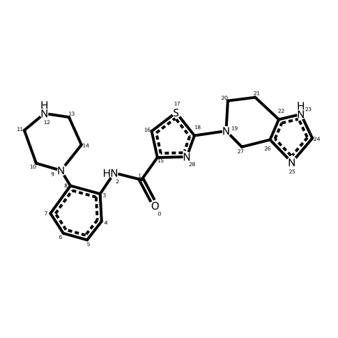 O=C(Nc1ccccc1N1CCNCC1)c1csc(N2CCc3[nH]cnc3C2)n1